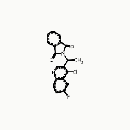 CC(c1cnc2ccc(F)cc2c1Cl)N1C(=O)c2ccccc2C1=O